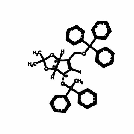 CC1(C)O[C@@H]2[C@H](O1)C(COC(c1ccccc1)(c1ccccc1)c1ccccc1)=C(I)[C@@H]2O[Si](C)(c1ccccc1)c1ccccc1